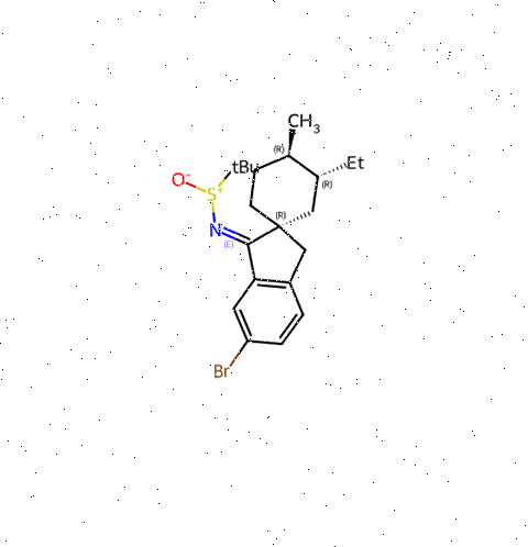 CC[C@@H]1C[C@]2(CC[C@H]1C)Cc1ccc(Br)cc1/C2=N/[S+]([O-])C(C)(C)C